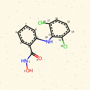 O=C(NO)c1ccccc1Nc1c(Cl)cccc1Cl